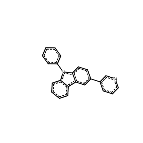 c1ccc(-n2c3ccccc3c3cc(-c4cccnc4)ccc32)cc1